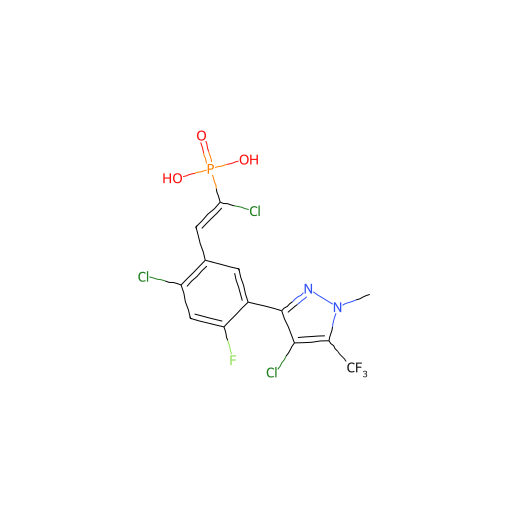 Cn1nc(-c2cc(C=C(Cl)P(=O)(O)O)c(Cl)cc2F)c(Cl)c1C(F)(F)F